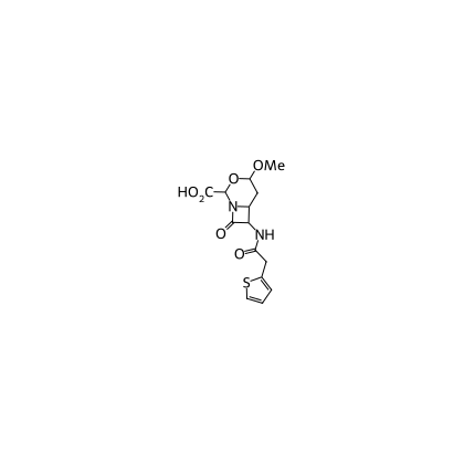 COC1CC2C(NC(=O)Cc3cccs3)C(=O)N2C(C(=O)O)O1